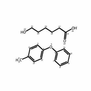 Cc1ccc(Oc2ccccc2)cc1.O=C(O)CCCCCO